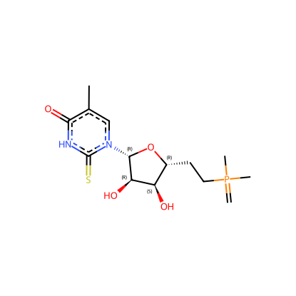 C=P(C)(C)CC[C@H]1O[C@@H](n2cc(C)c(=O)[nH]c2=S)[C@H](O)[C@@H]1O